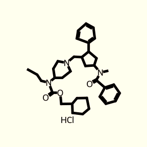 CCCN(C(=O)OCC1CCCCC1)C1CCN(CC2CC(N(C)C(=O)c3ccccc3)CC2c2ccccc2)CC1.Cl